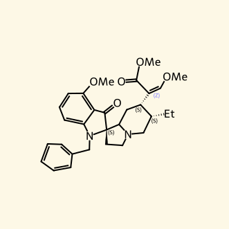 CC[C@@H]1CN2CC[C@@]3(C(=O)c4c(OC)cccc4N3Cc3ccccc3)C2C[C@@H]1/C(=C/OC)C(=O)OC